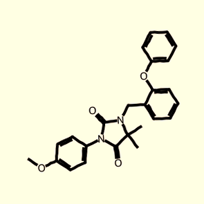 COc1ccc(N2C(=O)N(Cc3ccccc3Oc3ccccc3)C(C)(C)C2=O)cc1